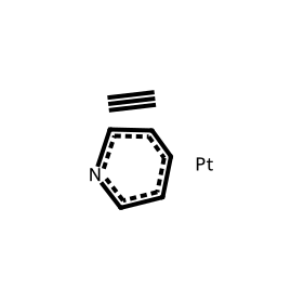 C#C.[Pt].c1ccncc1